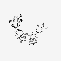 O=C(O)C1CCN(c2cc(CN3CCCC34CCN(C(=O)OC(C(F)(F)F)C(F)(F)F)CC4)cc(S(F)(F)(F)(F)F)c2)CC1